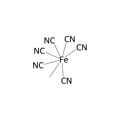 [CH3][Fe]([C]#N)([C]#N)([C]#N)([C]#N)([C]#N)[C]#N